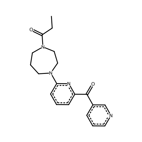 CCC(=O)N1CCCN(c2cccc(C(=O)c3cccnc3)n2)CC1